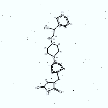 O=C1NC(=O)C(Cc2ccc(N3CCC(NCC(O)c4cccnc4)CC3)cc2)S1